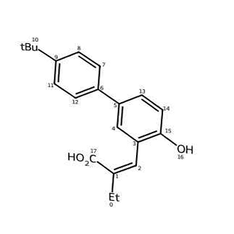 CCC(=Cc1cc(-c2ccc(C(C)(C)C)cc2)ccc1O)C(=O)O